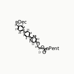 CCCCCCCCCCCc1ccc(-c2ccc(-c3ncc(OC[C@@H](C)OC(=O)CCCCC)cn3)cc2)cc1